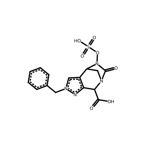 O=C(O)C1c2nn(Cc3ccccc3)cc2C2CN1C(=O)N2OS(=O)(=O)O